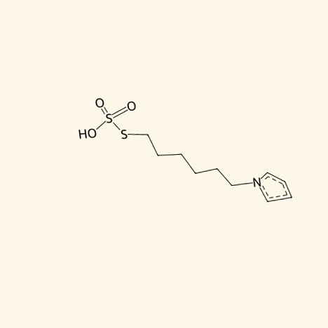 O=S(=O)(O)SCCCCCCn1cccc1